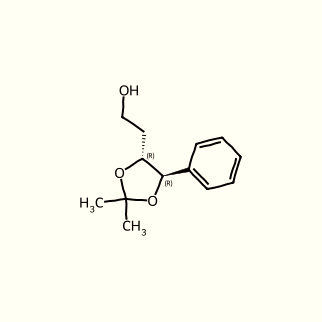 CC1(C)O[C@H](c2ccccc2)[C@@H](CCO)O1